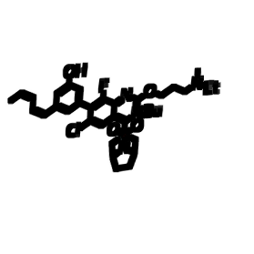 C/C=C\C=C/c1cc(O)cc(-c2c(Cl)cc3c(N4CC5CCC(C4)N5C(=O)OC(C)(C)C)nc(OCCCN(C)CC)nc3c2F)c1